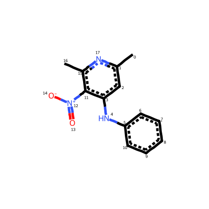 Cc1cc(Nc2c[c]ccc2)c([N+](=O)[O-])c(C)n1